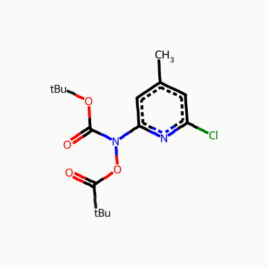 Cc1cc(Cl)nc(N(OC(=O)C(C)(C)C)C(=O)OC(C)(C)C)c1